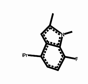 Cc1cc2c(C(C)C)ccc(F)c2n1C